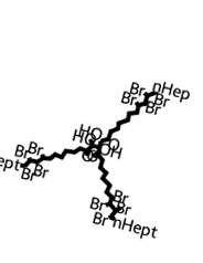 CCCCCCCC(Br)C(Br)C(Br)C(Br)CCCCCCC(=O)C(O)C(O)(C(=O)CCCCCCC(Br)C(Br)C(Br)C(Br)CCCCCCC)C(O)C(=O)CCCCCCC(Br)C(Br)C(Br)C(Br)CCCCCCC